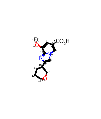 CCOc1cc(C(=O)O)cn2cc(C3CCCOC3)nc12